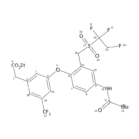 CCOC(=O)Cc1cc(Oc2ccc(NC(=O)C(C)(C)C)cc2CS(=O)(=O)C(F)(F)CF)cc(C(F)(F)F)c1